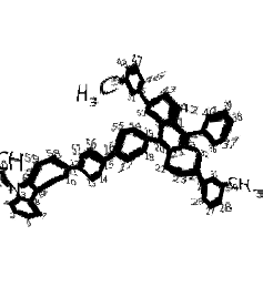 CCn1c2ccccc2c2cc(-c3ccc(-c4ccc(-c5c6ccc(-c7cccc(C)c7)cc6c(-c6ccccc6)c6ccc(-c7cccc(C)c7)cc56)cc4)cc3)ccc21